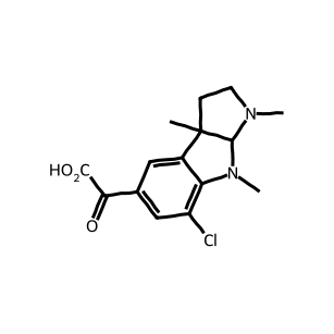 CN1CCC2(C)c3cc(C(=O)C(=O)O)cc(Cl)c3N(C)C12